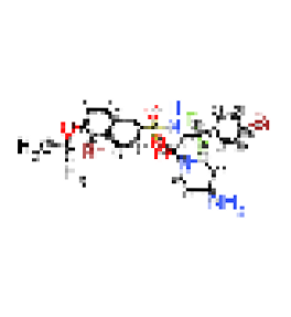 CC(C)Oc1ccc2cc(S(=O)(=O)N[C@H](C(=O)N3CCC(N)CC3)C(F)(F)c3ccc(Br)cc3)ccc2c1Br